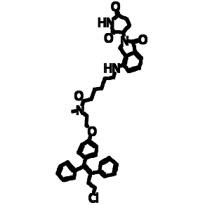 CN(CCOc1ccc(/C(=C(/CCCl)c2ccccc2)c2ccccc2)cc1)C(=O)CCCCCNc1cccc2c1CN(C1CCC(=O)NC1=O)C2=O